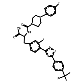 O=C(O)C(Cc1ccc(-c2noc(-c3ccc(C(F)(F)F)cc3)n2)c(F)c1)NC(=O)N1CCN(c2ccc(F)cc2)CC1